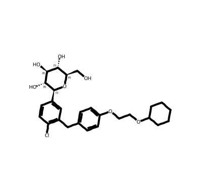 OC[C@H]1O[C@@H](c2ccc(Cl)c(Cc3ccc(OCCOC4CCCCC4)cc3)c2)[C@H](O)[C@@H](O)[C@@H]1O